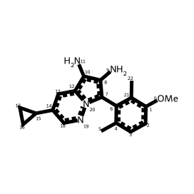 COc1ccc(C)c(-c2c(N)c(N)c3cc(C4CC4)cnn23)c1C